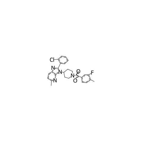 Cc1ccc2nc(-c3ccccc3Cl)n(C3CCN(S(=O)(=O)c4ccc(C)c(F)c4)CC3)c2n1